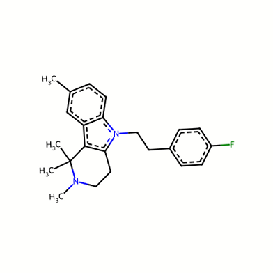 Cc1ccc2c(c1)c1c(n2CCc2ccc(F)cc2)CCN(C)C1(C)C